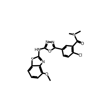 COc1cccc2sc(Nc3nnc(-c4ccc(Cl)c(C(=O)N(C)C)c4)o3)nc12